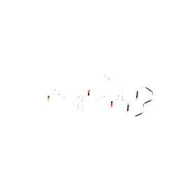 O=C(CCC(=O)Nc1cccc2ccccc12)NCCNC(=S)[S-].[Na+]